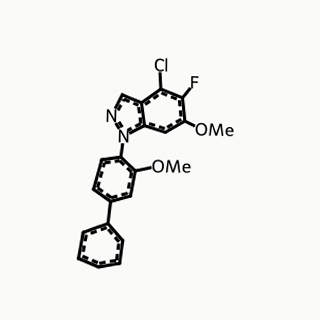 COc1cc(-c2ccccc2)ccc1-n1ncc2c(Cl)c(F)c(OC)cc21